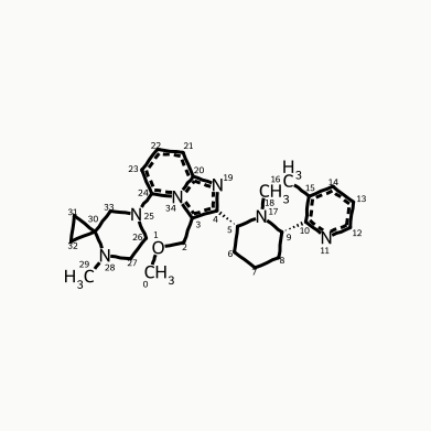 COCc1c([C@H]2CCC[C@@H](c3ncccc3C)N2C)nc2cccc(N3CCN(C)C4(CC4)C3)n12